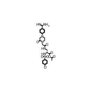 CC(=O)OC(=O)[C@H](CNC(=O)CN1CCN(c2ccc(C(=N)N)cc2)CC1=O)NS(=O)(=O)c1ccc(Cl)cc1